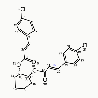 O=C(C=Cc1ccc(Cl)cc1)O[C@H]1CCCC[C@@H]1OC(=O)/C=C/c1ccc(Cl)cc1